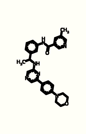 Cc1cncc(C(=O)Nc2cccc(C(C)Nc3cncc(-c4ccc(N5CCOCC5)cc4)n3)c2)c1